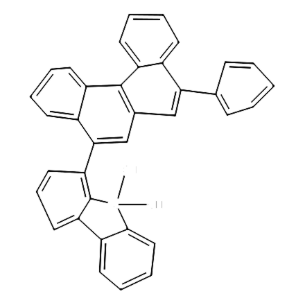 C[Si]1(C)c2ccccc2-c2cccc(-c3cc4cc(-c5ccccc5)c5ccccc5c4c4ccccc34)c21